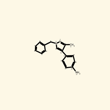 Cc1nn(Cc2ccccc2)cc1-c1ccc(N)cc1